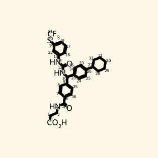 O=C(O)CCNC(=O)c1ccc(C(NC(=O)Nc2cccc(SC(F)(F)F)c2)c2ccc(C3CCCCC3)cc2)cc1